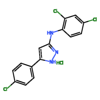 Cl.Clc1ccc(-c2cc(Nc3ccc(Cl)cc3Cl)n[nH]2)cc1